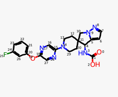 O=C(O)N[C@@H]1c2ccnn2CC12CCN(c1cnc(Oc3cccc(F)c3)cn1)CC2